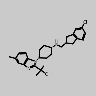 Cc1ccc2c(c1)nc(C(C)(C)O)n2[C@H]1CC[C@H](NCC2Cc3ccc(Cl)cc3C2)CC1